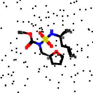 C=CC[C@H](C)NS(=O)(=O)N(C[C@H]1CCCO1)C(=O)OC(C)(C)C